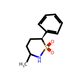 CC1CC[C@@H](c2ccccc2)S(=O)(=O)N1